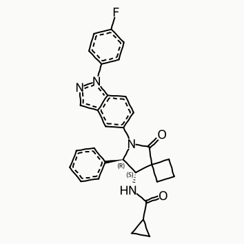 O=C(N[C@@H]1[C@@H](c2ccccc2)N(c2ccc3c(cnn3-c3ccc(F)cc3)c2)C(=O)C12CCC2)C1CC1